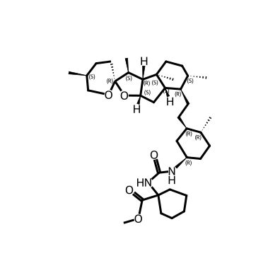 COC(=O)C1(NC(=O)N[C@@H]2CC[C@@H](C)[C@H](CC[C@@H]3[C@@H](C)CC[C@]4(C)[C@@H]5[C@H](C[C@@H]34)O[C@]3(CC[C@H](C)CO3)[C@H]5C)C2)CCCCC1